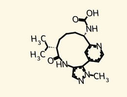 CC(C)[C@@H]1CCC[C@H](NC(=O)O)c2cc(ccn2)-c2c(cnn2C)NC1=O